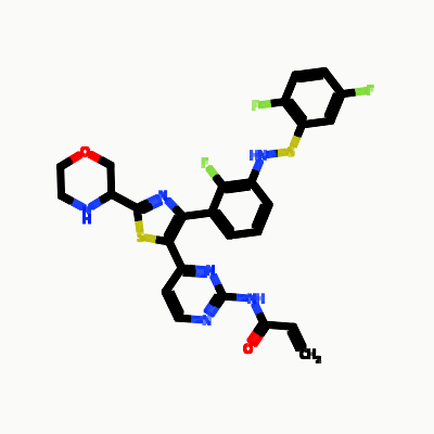 C=CC(=O)Nc1nccc(-c2sc(C3COCCN3)nc2-c2cccc(NSc3cc(F)ccc3F)c2F)n1